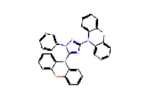 c1ccc(-n2nc(N3c4ccccc4Oc4ccccc43)nc2N2c3ccccc3Oc3ccccc32)cc1